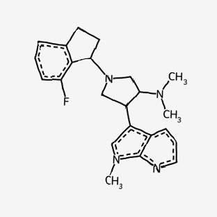 CN(C)C1CN(C2CCc3cccc(F)c32)CC1c1cn(C)c2ncccc12